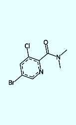 CN(C)C(=O)c1ncc(Br)cc1Cl